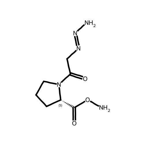 NN=NCC(=O)N1CCC[C@H]1C(=O)ON